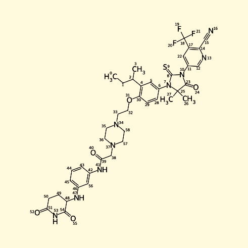 CCC(C)c1cc(N2C(=S)N(c3cnc(C#N)c(C(F)(F)F)c3)C(=O)C2(C)C)ccc1OCCN1CCN(CC(=O)Nc2cccc(NC3CCC(=O)NC3=O)c2)CC1